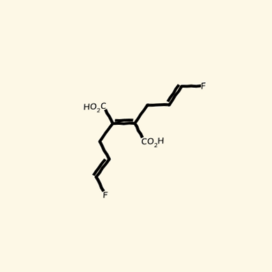 O=C(O)C(CC=CF)=C(CC=CF)C(=O)O